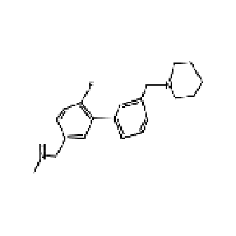 CNCc1ccc(F)c(-c2cccc(CN3CCCCC3)c2)c1